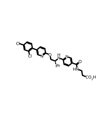 CC(C)[C@@H](COc1ccc(-c2ccc(Cl)cc2Cl)cn1)Nc1ccc(C(=O)NCCC(=O)O)cn1